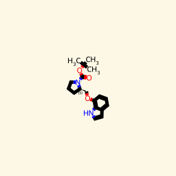 CC(C)(C)OC(=O)N1CCC[C@H]1COc1cccc2cc[nH]c12